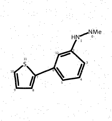 CNNc1cccc(-c2cccs2)c1